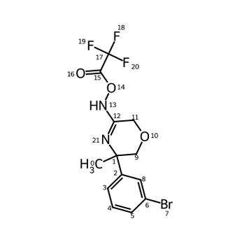 CC1(c2cccc(Br)c2)COCC(NOC(=O)C(F)(F)F)=N1